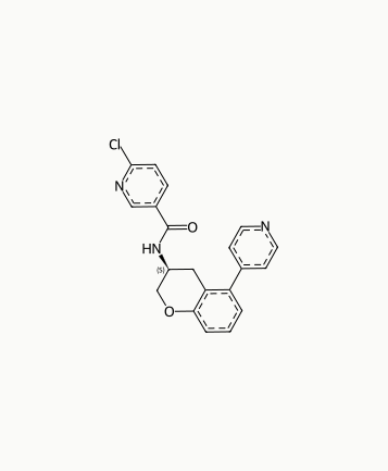 O=C(N[C@@H]1COc2cccc(-c3ccncc3)c2C1)c1ccc(Cl)nc1